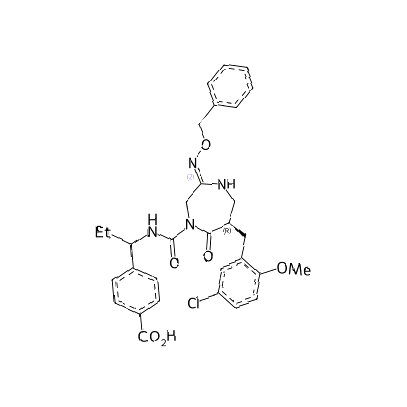 CCC(NC(=O)N1C/C(=N/OCc2ccccc2)NC[C@@H](Cc2cc(Cl)ccc2OC)C1=O)c1ccc(C(=O)O)cc1